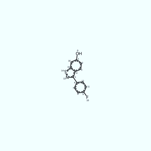 Oc1ccc2c(-c3ccc(F)cc3)nsc2c1